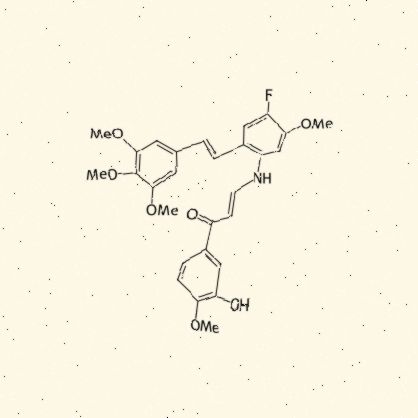 COc1ccc(C(=O)C=CNc2cc(OC)c(F)cc2C=Cc2cc(OC)c(OC)c(OC)c2)cc1O